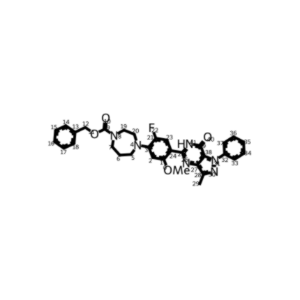 COc1cc(N2CCCN(C(=O)OCc3ccccc3)CC2)c(F)cc1-c1nc2c(C)nn(-c3ccccc3)c2c(=O)[nH]1